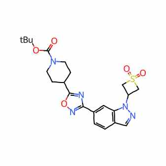 CC(C)(C)OC(=O)N1CCC(c2nc(-c3ccc4cnn(C5CS(=O)(=O)C5)c4c3)no2)CC1